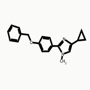 Cn1cc(C2CC2)nc1-c1ccc(OCc2ccccc2)cc1